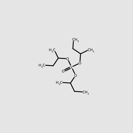 CCC(C)[O][V](=[O])([O]C(C)CC)[O]C(C)CC